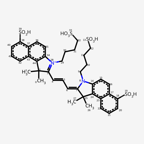 CC1(C)C(/C=C/C=C2\N(CCCCS(=O)(=O)O)c3ccc4c(S(=O)(=O)O)cccc4c3C2(C)C)=[N+](CCCCS(=O)(=O)O)c2ccc3c(S(=O)(=O)O)cccc3c21